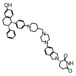 O=C1CC[C@H](N2Cc3ccc(N4CCN(CC5CCN(c6ccc([C@@H]7c8ccc(O)cc8CC[C@@H]7c7ccccc7)cc6)CC5)CC4)cc3C2)C(=O)N1